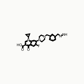 N=NCc1cccc(CN2CCN(c3cc4c(cc3F)c(=O)c(C(=O)O)cn4C3CC3)CC2)c1